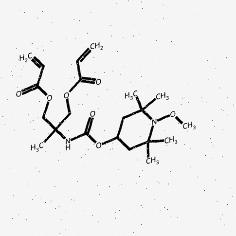 C=CC(=O)OCC(C)(COC(=O)C=C)NC(=O)OC1CC(C)(C)N(OC)C(C)(C)C1